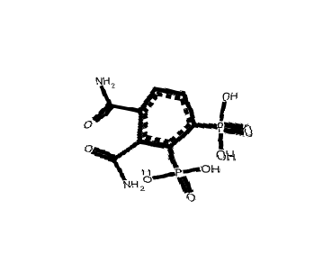 NC(=O)c1ccc(P(=O)(O)O)c(P(=O)(O)O)c1C(N)=O